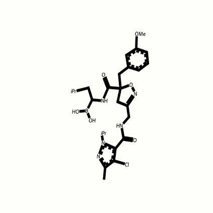 COc1cccc(CC2(C(=O)NC(CC(C)C)B(O)O)CC(CNC(=O)c3c(Cl)c(C)nn3C(C)C)=NO2)c1